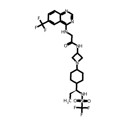 CC[C@H](NS(=O)(=O)C(F)(F)F)C1CCC(N2CC(NC(=O)CNc3ncnc4ccc(C(F)(F)F)cc34)C2)CC1